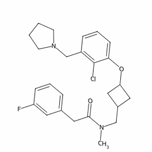 CN(CC1CC(Oc2cccc(CN3CCCC3)c2Cl)C1)C(=O)Cc1cccc(F)c1